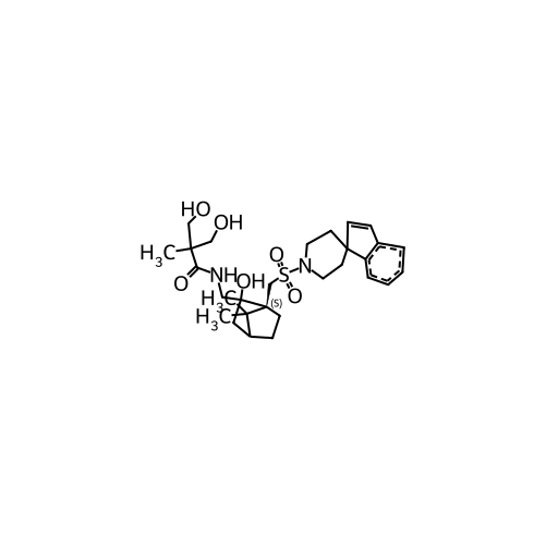 CC(CO)(CO)C(=O)NCC1(O)CC2CC[C@]1(CS(=O)(=O)N1CCC3(C=Cc4ccccc43)CC1)C2(C)C